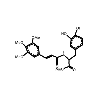 COC(=O)C(Cc1ccc(O)c(O)c1)NC(=O)C=Cc1cc(OC)c(OC)c(OC)c1